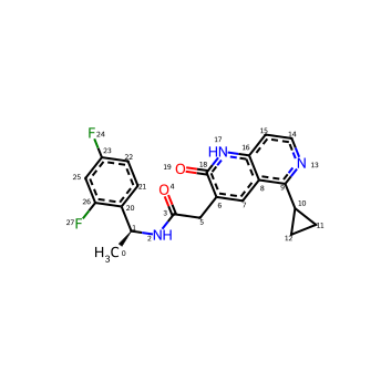 C[C@H](NC(=O)Cc1cc2c(C3CC3)nccc2[nH]c1=O)c1ccc(F)cc1F